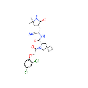 CC1(C)C[C@@H](C[C@@H](C#N)NC(=O)[C@@H]2CC3(CCC3)CN2C(=O)COc2ccc(Cl)cc2Cl)C(=O)N1